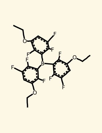 CCOc1cc(F)c(F)c(B(c2c(F)c(F)cc(OCC)c2F)c2c(F)c(F)cc(OCC)c2F)c1F